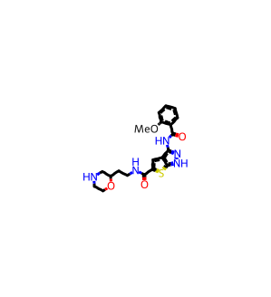 COc1ccccc1C(=O)Nc1n[nH]c2sc(C(=O)NCCC3CNCCO3)cc12